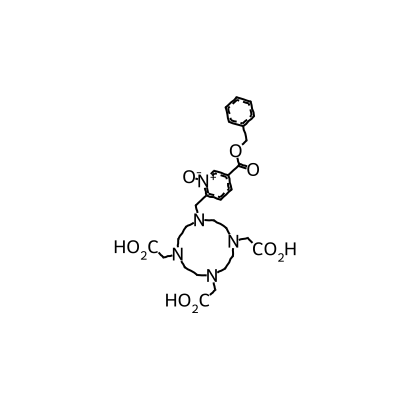 O=C(O)CN1CCN(CC(=O)O)CCN(Cc2ccc(C(=O)OCc3ccccc3)c[n+]2[O-])CCN(CC(=O)O)CC1